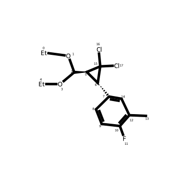 CCOC(OCC)[C@@H]1[C@@H](c2ccc(F)c(C)c2)C1(Cl)Cl